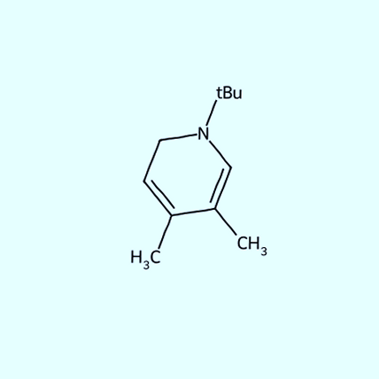 CC1=CCN(C(C)(C)C)C=C1C